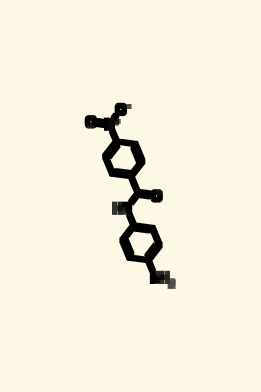 Nc1ccc(NC(=O)c2ccc([N+](=O)[O-])cc2)cc1